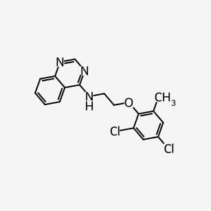 Cc1cc(Cl)cc(Cl)c1OCCNc1ncnc2ccccc12